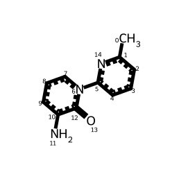 Cc1cccc(-n2cccc(N)c2=O)n1